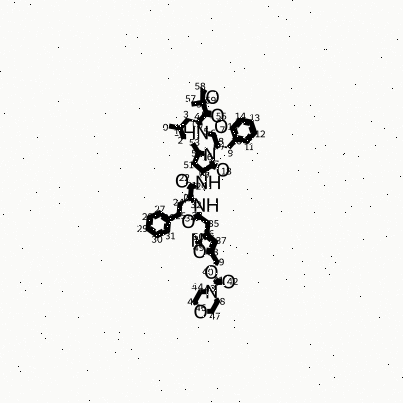 CC(C)C[C@H](NC(=O)[C@H](Cc1ccccc1)N1C(=O)[C@@H](NC(=O)[C@H](CCc2ccccc2)NC(=O)Cc2cc(COC(=O)N3CCOCC3)on2)CC1C)C(=O)C1(C)CO1